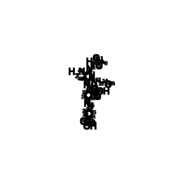 C=CS(=O)(=O)CCNc1nc(NCCCOC)c(/N=N/c2ccc(/N=N/c3ccc(S(=O)(=O)O)cc3)cc2S(=O)(=O)O)c(C)c1N